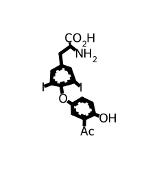 CC(=O)c1cc(Oc2c(I)cc(C[C@H](N)C(=O)O)cc2I)ccc1O